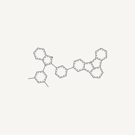 Cc1cc(C)cc(-n2c(-c3cccc(-c4ccc5c(c4)c4cccc6c7ccccc7n5c64)c3)nc3ccccc32)c1